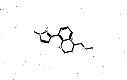 CNCC1CCOc2c(-c3ccn(C)n3)cccc21